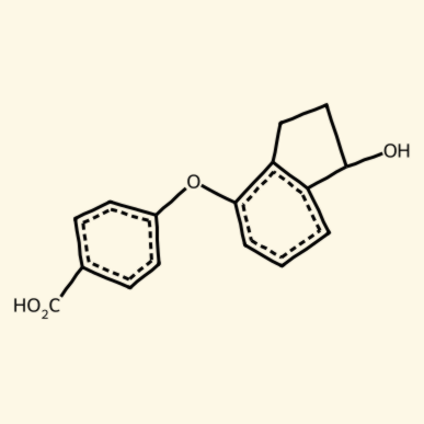 O=C(O)c1ccc(Oc2cccc3c2CCC3O)cc1